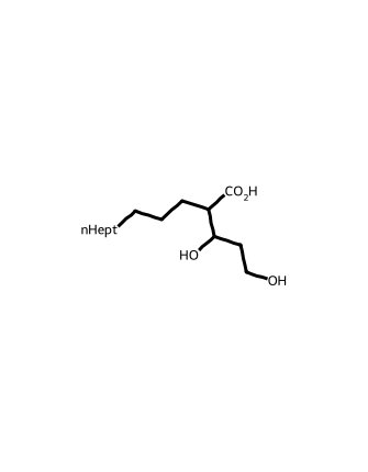 CCCCCCCCCCC(C(=O)O)C(O)CCO